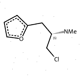 CN[C@H](CCl)Cc1ccco1